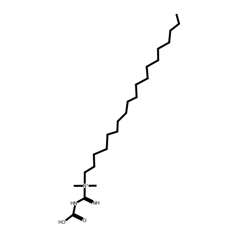 CCCCCCCCCCCCCCCCCCC[N+](C)(C)C(=N)NC(=O)O